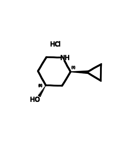 Cl.O[C@@H]1CCN[C@@H](C2CC2)C1